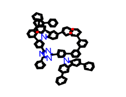 c1ccc(-c2cccc(-c3cccc(-c4ccc(-c5nc(-c6ccccc6)nc(-c6ccc(-c7cccc(-c8cccc(-c9ccccc9)c8)c7)c(-n7c8ccc(-c9ccccc9)cc8c8cc(-c9ccccc9)ccc87)c6)n5)cc4-n4c5ccc(-c6ccccc6)cc5c5cc(-c6ccccc6)ccc54)c3)c2)cc1